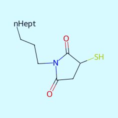 CCCCCCCCCCN1C(=O)CC(S)C1=O